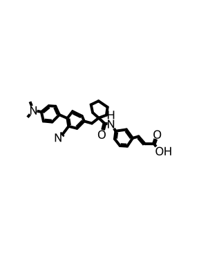 CN(C)c1ccc(-c2ccc(CC3(C(=O)Nc4cccc(/C=C/C(=O)O)c4)CCCCC3)cc2C#N)cc1